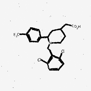 O=C(O)CC1CCN(Cc2c(Cl)cccc2Cl)C(c2ccc(C(F)(F)F)cc2)C1